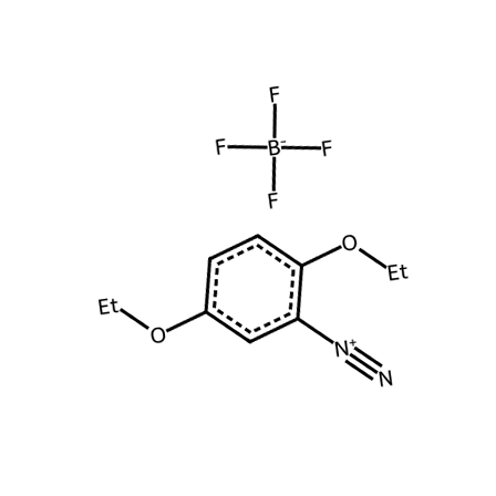 CCOc1ccc(OCC)c([N+]#N)c1.F[B-](F)(F)F